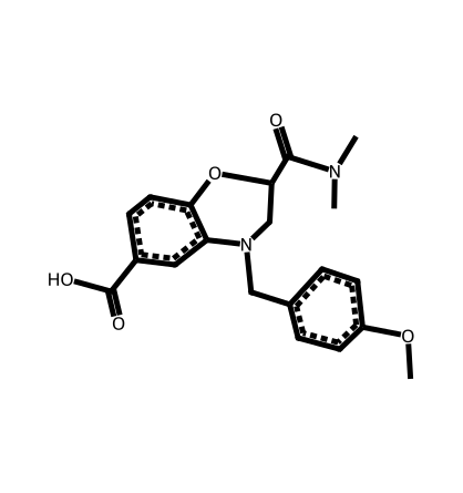 COc1ccc(CN2CC(C(=O)N(C)C)Oc3ccc(C(=O)O)cc32)cc1